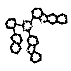 c1ccc(-c2nc(-c3ccc4c(c3)sc3ccccc34)nc(-c3cccc4c3oc3cc5ccccc5cc34)n2)c(-c2ccc3ccccc3c2)c1